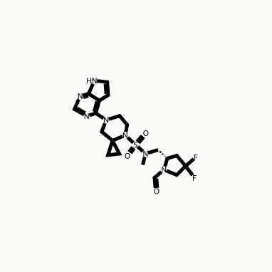 CN(C[C@@H]1CC(F)(F)CN1C=O)S(=O)(=O)N1CCN(c2ncnc3[nH]ccc23)CC12CC2